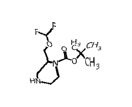 CC(C)(C)OC(=O)N1CCNCC1COC(F)F